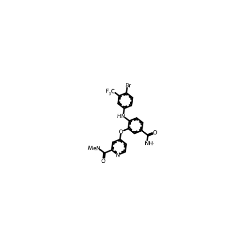 CNC(=O)c1cc(Oc2cc(C([NH])=O)ccc2Nc2ccc(Br)c(C(F)(F)F)c2)ccn1